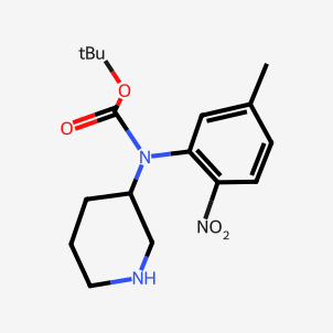 Cc1ccc([N+](=O)[O-])c(N(C(=O)OC(C)(C)C)C2CCCNC2)c1